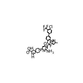 Cc1ccn(-c2cc(-c3ccc(Cl)c(C(F)(F)F)c3)ccc2[C@@H](Oc2cc(N3CCC4(CC3)CNC(C(=O)O)C4)nc(N)n2)C(F)(F)F)n1